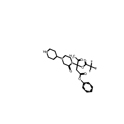 CC(=O)C(CC(=O)Oc1ccccc1)(OC(=O)C(F)(F)F)N1CCN(C2CCNCC2)CC1=O